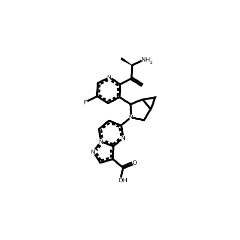 C=C(c1ncc(F)cc1C1C2CC2CN1c1ccn2ncc(C(=O)O)c2n1)[C@@H](C)N